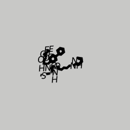 CSCC[C@@H](NC(=O)CCCCNc1ccccn1)C(=O)NC(CC(=O)OC(=O)C(F)(F)F)c1ccc(-c2ccccc2)cc1